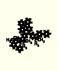 CC1(C)c2ccc(N(c3ccc4c(c3)C(C)(C)c3cc5c(cc3-4)C(C)(C)c3cccc(-c4ccccc4)c3-5)c3ccc4c(c3)C(c3ccccc3)(c3ccccc3)c3ccccc3-4)cc2-c2ccc(-c3ccccc3)cc21